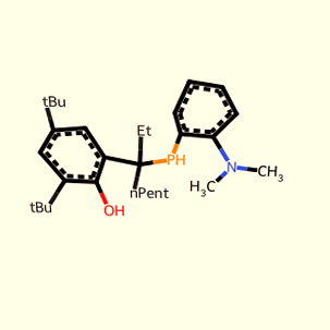 CCCCCC(CC)(Pc1ccccc1N(C)C)c1cc(C(C)(C)C)cc(C(C)(C)C)c1O